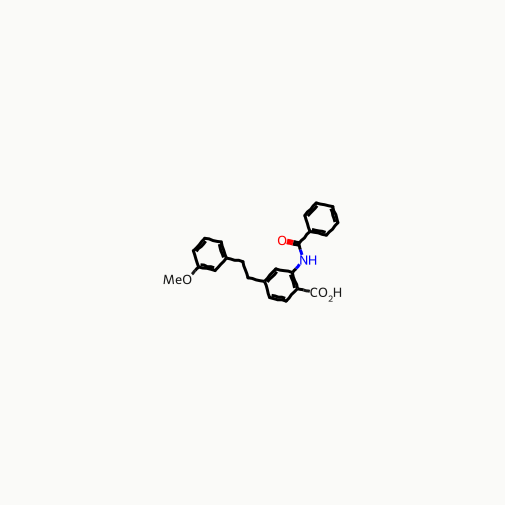 COc1cccc(CCc2ccc(C(=O)O)c(NC(=O)c3ccccc3)c2)c1